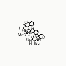 CCNC(=O)[C@H](NC(=O)C1(c2ccc3nc([C@@H](NC(=O)OC)[C@H](c4ccccc4Cl)C4(C)CC4)[nH]c3c2)CCOCC1)C(C)(C)C